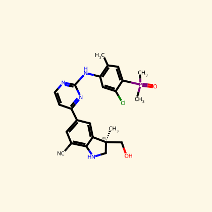 Cc1cc(P(C)(C)=O)c(Cl)cc1Nc1nccc(-c2cc(C#N)c3c(c2)[C@@](C)(CO)CN3)n1